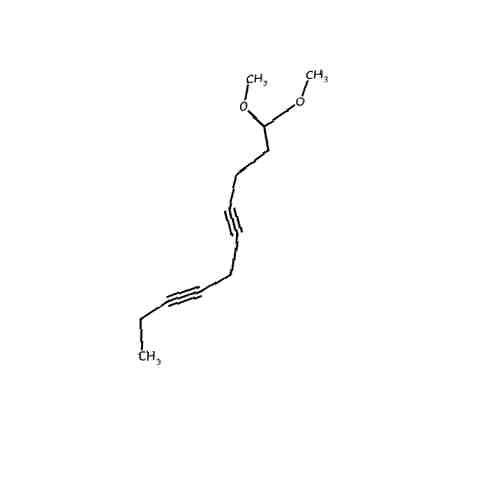 CCC#CCC#CCCC(OC)OC